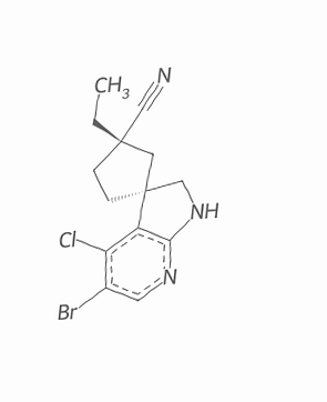 CC[C@]1(C#N)CC[C@@]2(CNc3ncc(Br)c(Cl)c32)C1